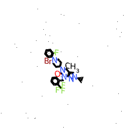 C[C@@H]1c2cn(C3CC3)nc2N(Cc2ccccc2C(F)(F)F)C(=O)N1C1CCN(c2c(F)cccc2Br)CC1